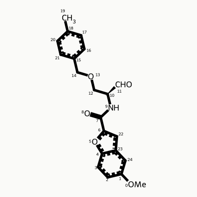 COc1ccc2oc(C(=O)N[C@H](C=O)COCc3ccc(C)cc3)cc2c1